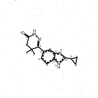 CC1(C)CC(=O)NN=C1c1ccc2[nH]c(C3CC3)nc2c1